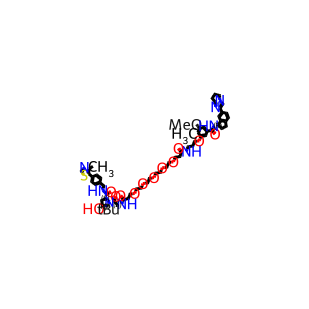 COc1cc(C(=O)N[C@@H]2CCc3ccc(-c4cn5c(n4)CCC5)cc32)cc(OCCCNC(=O)CCOCCOCCOCCOCCOCCC(=O)N[C@H](C(=O)N2C[C@H](O)C[C@H]2C(=O)NCc2ccc(-c3scnc3C)cc2)C(C)(C)C)c1C